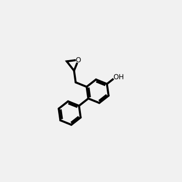 Oc1ccc(-c2ccccc2)c(CC2CO2)c1